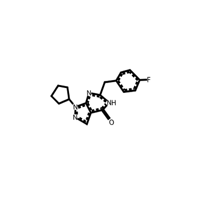 O=c1[nH]c(Cc2ccc(F)cc2)nc2c1cnn2C1CCCC1